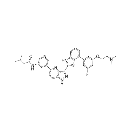 CC(C)CC(=O)Nc1cncc(-c2ccc3[nH]nc(-c4nc5c(-c6cc(F)cc(OCCN(C)C)c6)cccc5[nH]4)c3n2)c1